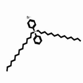 CCCCCCCCCCCCCC[P+](CCCCCCCCCCCCCC)(c1ccccc1)c1ccccc1.[Br-]